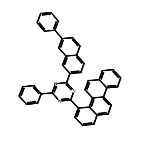 c1ccc(-c2ccc3ccc(-c4nc(-c5ccccc5)nc(-c5cccc6ccc7c8ccccc8ccc7c56)n4)cc3c2)cc1